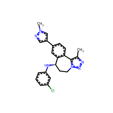 Cc1nnn2c1-c1ccc(-c3cnn(C)c3)cc1[C@H](Nc1cccc(Cl)c1)CC2